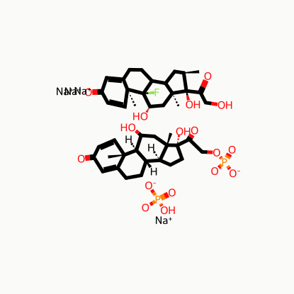 C[C@@H]1CC2C3CCC4=CC(=O)C=C[C@]4(C)[C@@]3(F)[C@@H](O)C[C@]2(C)[C@@]1(O)C(=O)CO.C[C@]12C=CC(=O)C=C1CC[C@@H]1[C@@H]2C(O)C[C@@]2(C)[C@H]1CC[C@]2(O)C(=O)COP(=O)([O-])[O-].O=P([O-])([O-])O.[Na+].[Na+].[Na+].[Na+]